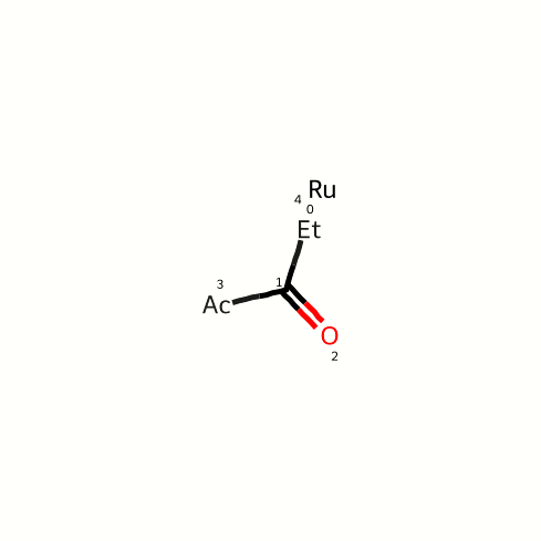 CCC(=O)C(C)=O.[Ru]